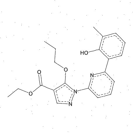 CCCOc1c(C(=O)OCC)cnn1-c1cccc(-c2cccc(C)c2O)n1